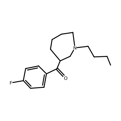 CCCCN1CCCCC(C(=O)c2ccc(F)cc2)C1